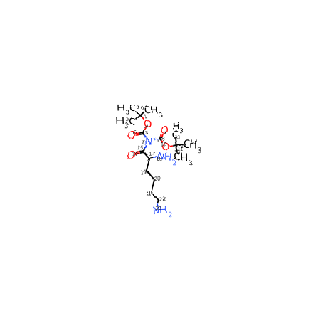 CC(C)(C)OC(=O)[N+](C(=O)OC(C)(C)C)C(=O)[C@@H](N)CCCCN